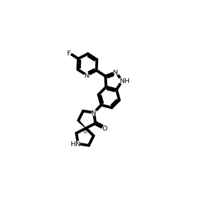 O=C1N(c2ccc3[nH]nc(-c4ccc(F)cn4)c3c2)CC[C@]12CCNC2